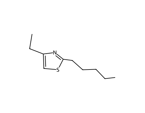 CCCCCc1nc(CC)cs1